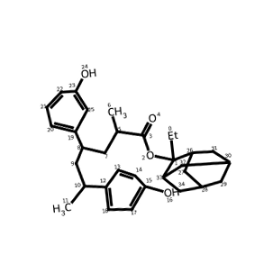 CCC1(OC(=O)C(C)CC(CC(C)c2ccc(O)cc2)c2cccc(O)c2)C2CC3CC(C2)CC1C3